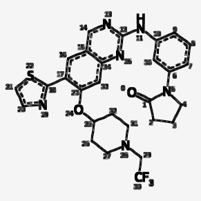 O=C1CCCN1c1cccc(Nc2ncc3cc(-c4nccs4)c(OC4CCN(CC(F)(F)F)CC4)cc3n2)c1